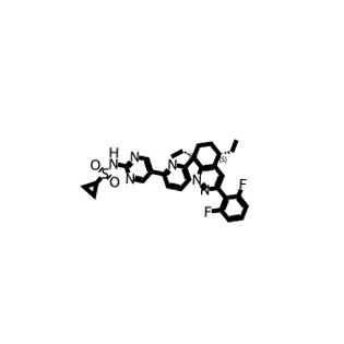 CC[C@H]1CC[C@](CC)(c2cccc(-c3cnc(NS(=O)(=O)C4CC4)nc3)n2)c2nnc(-c3c(F)cccc3F)cc21